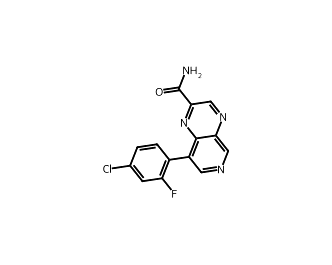 NC(=O)c1cnc2cncc(-c3ccc(Cl)cc3F)c2n1